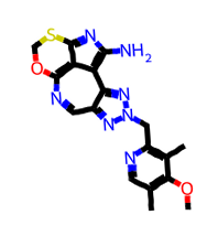 COc1c(C)cnc(Cn2nc3cnc4c5c(nc(N)c-5c3n2)SCO4)c1C